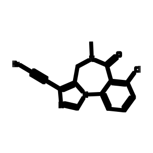 CN1Cc2c(C#CBr)ncn2-c2cccc(Cl)c2C1=O